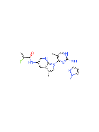 C=C(F)C(=O)Nc1cnc2c(c1)c(C)cn2-c1nc(Nc2ccn(C)n2)ncc1C